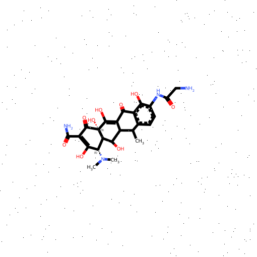 CC1c2ccc(NC(=O)CN)c(O)c2C(=O)C2=C(O)[C@]3(O)C(=O)C(C(N)=O)=C(O)[C@@H](N(C)C)C3C(O)C21